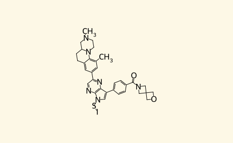 Cc1cc(-c2cnc3c(n2)c(-c2ccc(C(=O)N4CC5(COC5)C4)cc2)cn3SI)cc2c1N1CCN(C)CC1CC2